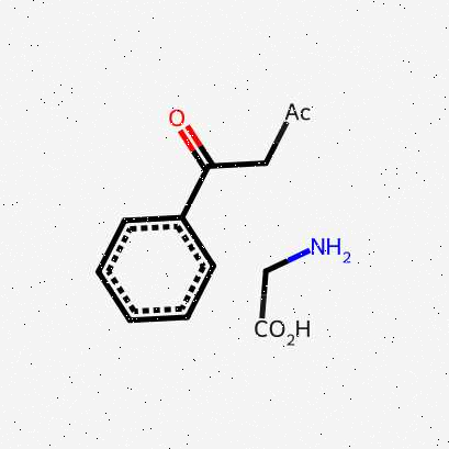 CC(=O)CC(=O)c1ccccc1.NCC(=O)O